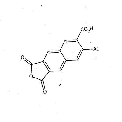 CC(=O)c1cc2cc3c(cc2cc1C(=O)O)C(=O)OC3=O